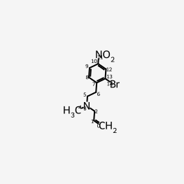 C=CCN(C)CCc1ccc([N+](=O)[O-])cc1Br